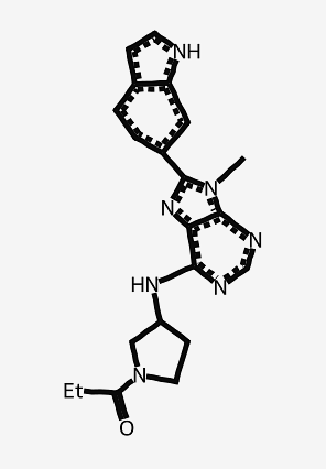 CCC(=O)N1CCC(Nc2ncnc3c2nc(-c2ccc4cc[nH]c4c2)n3C)C1